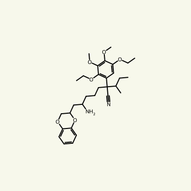 CCOc1cc(C(C#N)(CCCC(N)CC2COc3ccccc3O2)C(C)CC)c(OCC)c(OC)c1OC